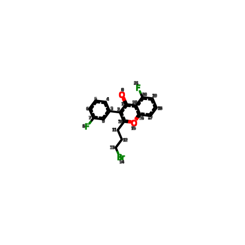 O=c1c(-c2cccc(F)c2)c(CCCBr)oc2cccc(F)c12